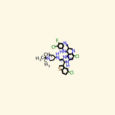 CC(C)(C)N1CCC(N/C=C(\N)[C@@H](Nc2cc(Cl)c3ncc(C#N)c(Nc4ccc(F)c(Cl)c4)c3c2)c2csc3ccc(Cl)cc23)CC1